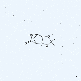 CC1(C)OC2C3CC(C(=O)N3)C2O1